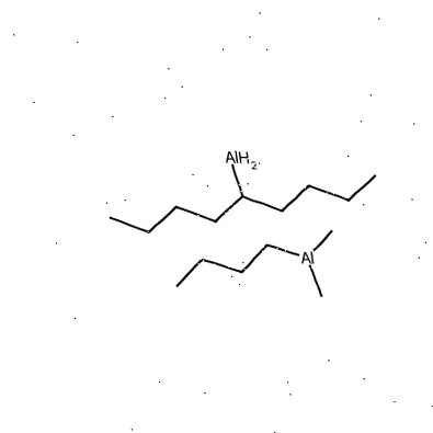 CCCC[CH]([AlH2])CCCC.CCC[CH2][Al]([CH3])[CH3]